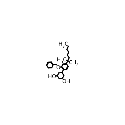 CCCCCCC(C)(C)c1ccc(C2CC(O)CC(O)C2)c(OCc2ccccc2)c1